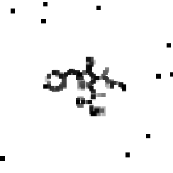 CCO/C(C)=C1/C(=O)N(Cc2ccccc2)N=C1C(C)C(=O)O